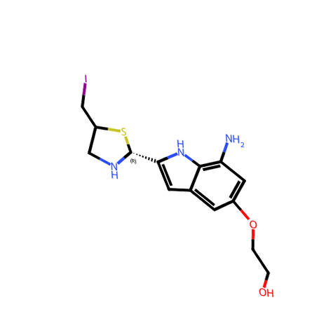 Nc1cc(OCCO)cc2cc([C@@H]3NCC(CI)S3)[nH]c12